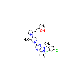 Cc1nn([C@H](C)c2ccc(Cl)cc2Cl)c2nc(N3CCC(N4CCC[C@H]4CCC(C)O)C(C)C3)cnc12